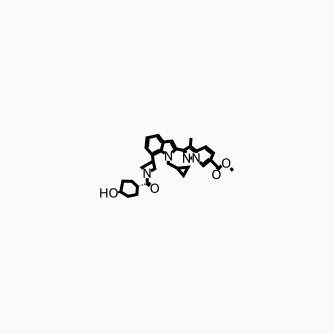 COC(=O)c1ccc2c(C)c(-c3cc4cccc(C5CN(C(=O)[C@H]6CC[C@H](O)CC6)C5)c4n3CC3CC3)nn2c1